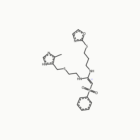 Cc1nc[nH]c1CSCCN/C(=C\S(=O)(=O)c1ccccc1)NCCCSc1ncco1